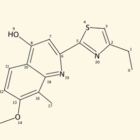 CCc1csc(-c2cc(O)c3ccc(OC)c(C)c3n2)n1